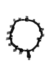 O=C1CCCCCCCCCCC=CCCCO1